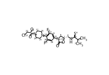 CC(C)C(=S)NC[C@H]1CN(c2cc(F)c(N3CCN(S(=O)(=O)CCl)CC3)c(F)c2)C(=O)O1